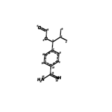 CC(C)C(O[C]=O)c1ccc(C(=N)N)cc1